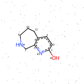 Oc1ccc2c(n1)CNCCC2